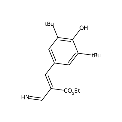 CCOC(=O)/C(C=N)=C\c1cc(C(C)(C)C)c(O)c(C(C)(C)C)c1